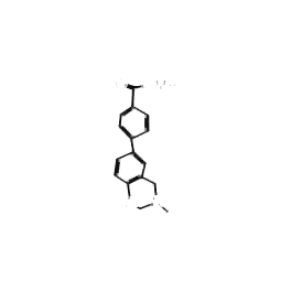 COC(=O)c1ccc(-c2ccc3c(c2)CN(C)CO3)cc1